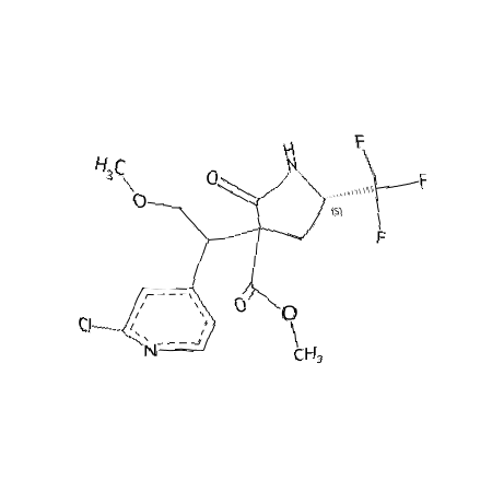 COCC(c1ccnc(Cl)c1)C1(C(=O)OC)C[C@@H](C(F)(F)F)NC1=O